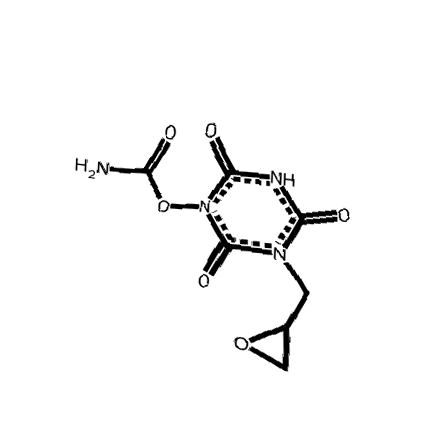 NC(=O)On1c(=O)[nH]c(=O)n(CC2CO2)c1=O